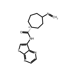 C=NC1CCC[C@@H](C(=O)Nc2csc3nccnc23)CC1